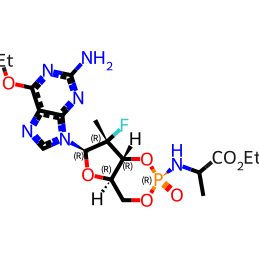 CCOC(=O)C(C)N[P@@]1(=O)OC[C@H]2O[C@@H](n3cnc4c(OCC)nc(N)nc43)[C@](C)(F)[C@@H]2O1